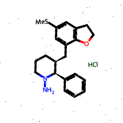 CSc1cc2c(c(C[C@@H]3CCCN(N)[C@@H]3c3ccccc3)c1)OCC2.Cl